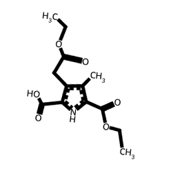 CCOC(=O)Cc1c(C(=O)O)[nH]c(C(=O)OCC)c1C